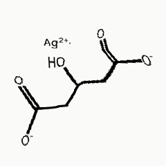 O=C([O-])CC(O)CC(=O)[O-].[Ag+2]